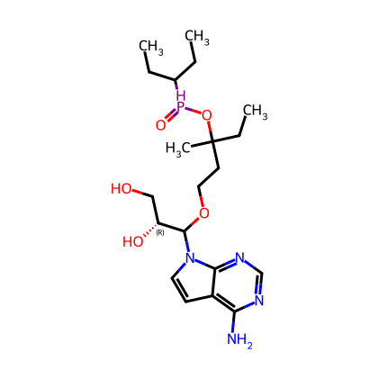 CCC(CC)[PH](=O)OC(C)(CC)CCOC([C@H](O)CO)n1ccc2c(N)ncnc21